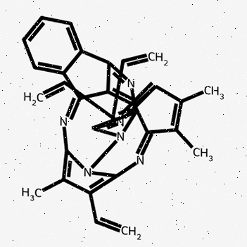 C=Cc1c(C)c2nc3c4c(nc5c(C=C)c(C=C)c6nc7c4c(nc1n2n65)C(C)=C7C)-c1ccccc1-3